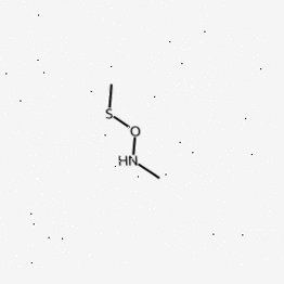 CNOSC